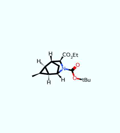 CCOC(=O)[C@@H]1[C@@H]2C[C@@H]([C@H]3[C@@H](C)[C@@H]23)N1C(=O)OC(C)(C)C